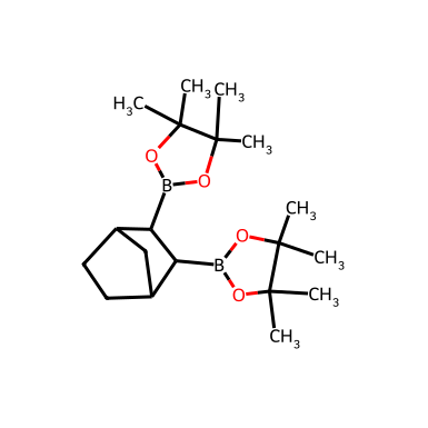 CC1(C)OB(C2C3CCC(C3)C2B2OC(C)(C)C(C)(C)O2)OC1(C)C